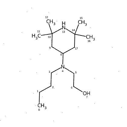 CCCCN(CCO)C1CC(C)(C)NC(C)(C)C1